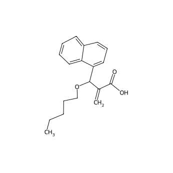 C=C(C(=O)O)C(OCCCCC)c1cccc2ccccc12